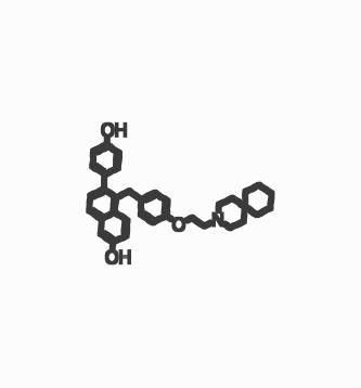 Oc1ccc(-c2ccc3cc(O)ccc3c2Cc2ccc(OCCN3CCC4(CCCCC4)CC3)cc2)cc1